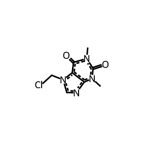 Cn1c(=O)c2c(ncn2CCl)n(C)c1=O